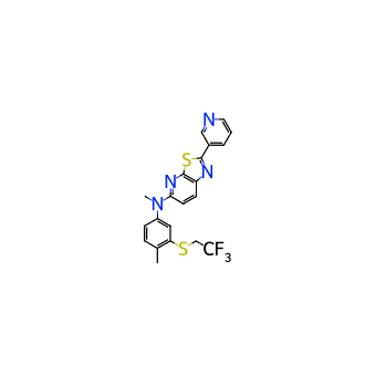 Cc1ccc(N(C)c2ccc3nc(-c4cccnc4)sc3n2)cc1SCC(F)(F)F